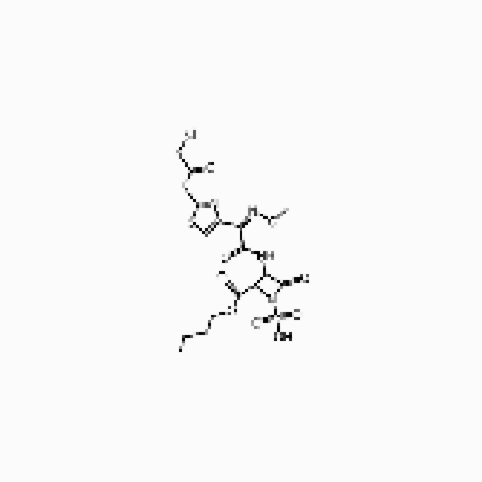 CCCCOC(=O)C1C(NC(=O)C(=NOC)c2csc(NC(=O)CCl)n2)C(=O)N1S(=O)(=O)O